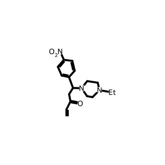 C=CC(=O)CC(c1ccc([N+](=O)[O-])cc1)N1CCN(CC)CC1